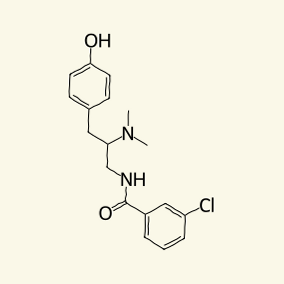 CN(C)C(CNC(=O)c1cccc(Cl)c1)Cc1ccc(O)cc1